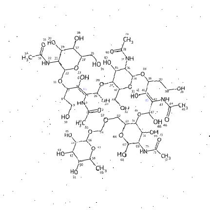 CC(=O)N/C(=C(/O)C(CCO)OC1OC(CO)C(O)C(O)C1NC(C)=O)C(O)OC1C(CO)OC(OC(CCO)/C(O)=C(\NC(C)=O)C(O)OC2C(COCOC3OC(C)C(O)C(O)C3O)OC(O)C(NC(C)=O)C2O)C(NC(C)=O)C1O